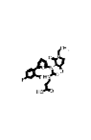 CCN1C=CC(=O)[C@H](N(C(=O)NCCC(=O)O)c2cccc(-c3ccc(F)cc3F)c2)C1=O